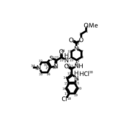 COCCOC(=O)N1CC[C@H](NC(=O)c2cc3cc(Cl)ccc3[nH]2)[C@H](NC(=O)c2nc3c(s2)CN(C)CC3)C1.Cl